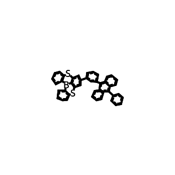 c1ccc(-c2c3ccccc3c(-c3cccc(-c4cc5c6c(c4)Sc4ccccc4B6c4ccccc4S5)c3)c3ccccc23)cc1